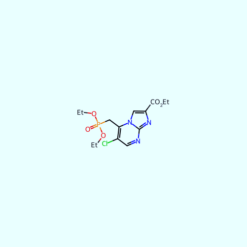 CCOC(=O)c1cn2c(CP(=O)(OCC)OCC)c(Cl)cnc2n1